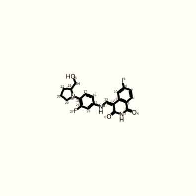 O=C1NC(=O)c2ccc(I)cc2/C1=C/Nc1ccc(N2CCCC2CO)c(F)c1